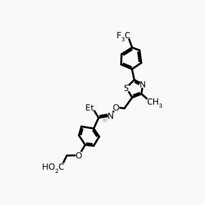 CC/C(=N\OCc1sc(-c2ccc(C(F)(F)F)cc2)nc1C)c1ccc(OCC(=O)O)cc1